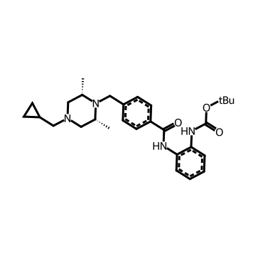 C[C@@H]1CN(CC2CC2)C[C@H](C)N1Cc1ccc(C(=O)Nc2ccccc2NC(=O)OC(C)(C)C)cc1